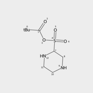 CC(C)(C)C(=O)OS(=O)(=O)C1CNCCN1